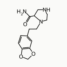 NC(=O)C1CNCCN1CCc1ccc2c(c1)OCO2